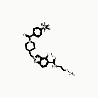 COCCNC(=O)c1ccc2nn(CC3CCN(C(=O)c4ccc(S(F)(F)(F)(F)F)cc4)CC3)cc2c1C